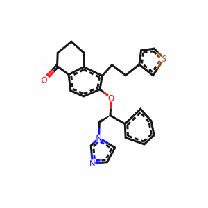 O=C1CCCc2c1ccc(O[C@H](Cn1ccnc1)c1ccccc1)c2CCc1ccsc1